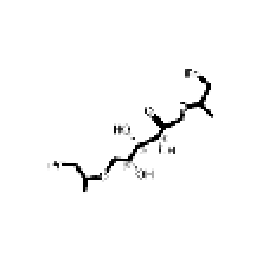 CC(C)CC(C)OCC(=O)[C@H](O)[C@@H](O)[C@H](O)COC(C)CC(C)C